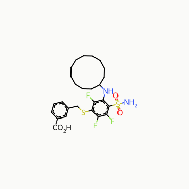 NS(=O)(=O)c1c(F)c(F)c(SCc2cccc(C(=O)O)c2)c(F)c1NC1CCCCCCCCCCC1